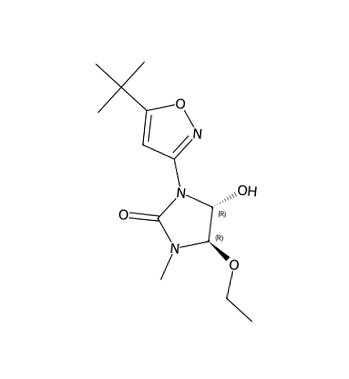 CCO[C@@H]1[C@@H](O)N(c2cc(C(C)(C)C)on2)C(=O)N1C